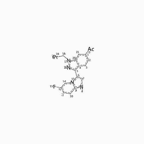 CC(=O)c1ccc2c(-c3cnc4ccc(F)cn34)nn(CC(C)C)c2c1